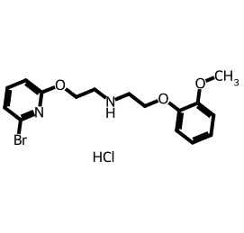 COc1ccccc1OCCNCCOc1cccc(Br)n1.Cl